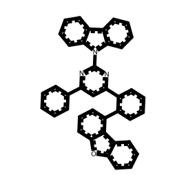 c1ccc(-c2cc(-c3ccccc3-c3cccc4oc5ccccc5c34)nc(-n3c4ccccc4c4ccccc43)n2)cc1